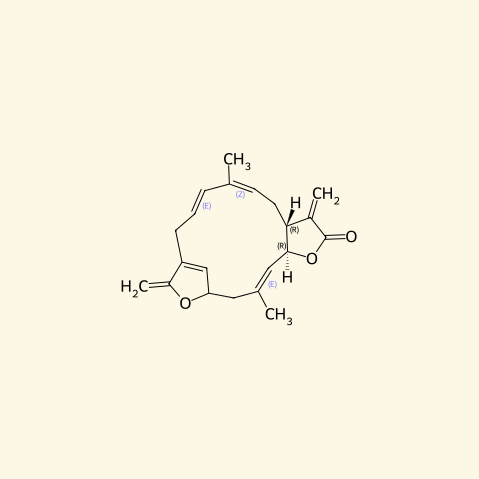 C=C1OC2C=C1C/C=C/C(C)=C\C[C@@H]1C(=C)C(=O)O[C@H]1/C=C(\C)C2